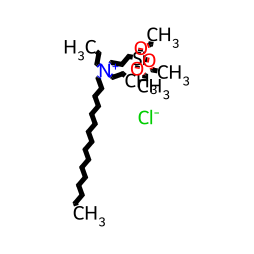 CCCCCCCCCCCCCCCC[N+](CCC)(CCC)CCC[Si](OCC)(OCC)OCC.[Cl-]